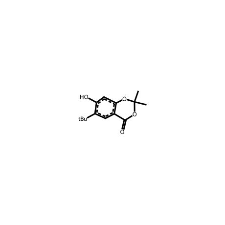 CC1(C)OC(=O)c2cc(C(C)(C)C)c(O)cc2O1